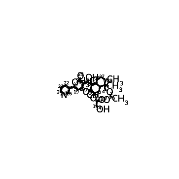 CC(=O)OCC1(C)C2C[C@H](OC(=O)CO)[C@@]3(C)Oc4cc(-c5cccnc5)oc(=O)c4[C@H](O)C3[C@@]2(C)CC[C@@H]1C